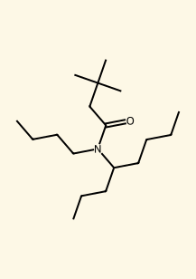 CCCCC(CCC)N(CCCC)C(=O)CC(C)(C)C